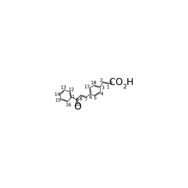 O=C(O)C=Cc1ccc(C=CC(=O)c2ccccc2)cc1